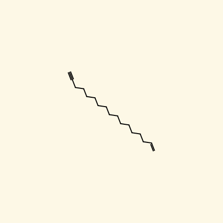 C#CCCCCCCCCCCCCCC=C